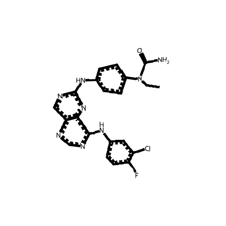 CCN(C(N)=O)c1ccc(Nc2ncc3ncnc(Nc4ccc(F)c(Cl)c4)c3n2)cc1